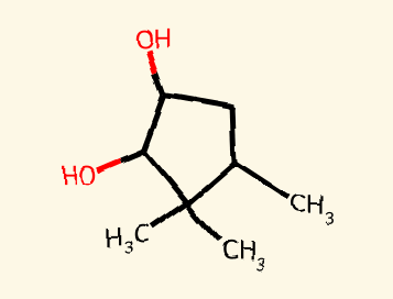 CC1CC(O)C(O)C1(C)C